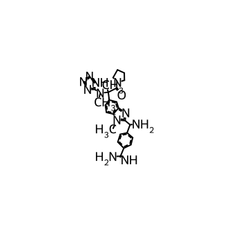 CN(c1nnn[nH]1)C(C)(C(=O)N1CCCC1)c1ccc2c(c1)nc(C(N)c1ccc(C(=N)N)cc1)n2C